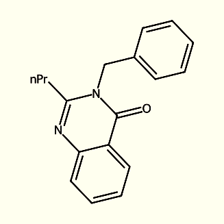 CCCc1nc2ccccc2c(=O)n1Cc1ccccc1